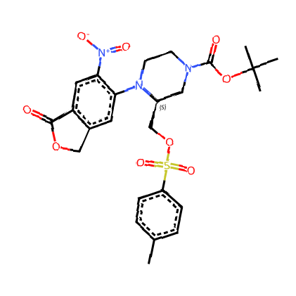 Cc1ccc(S(=O)(=O)OC[C@@H]2CN(C(=O)OC(C)(C)C)CCN2c2cc3c(cc2[N+](=O)[O-])C(=O)OC3)cc1